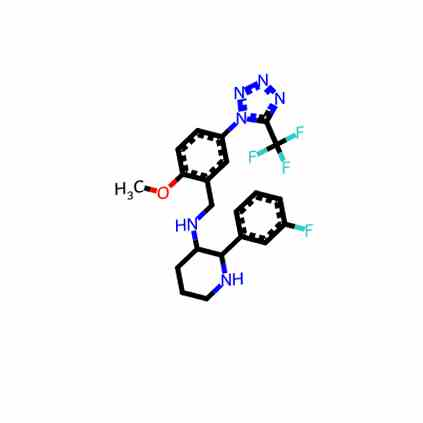 COc1ccc(-n2nnnc2C(F)(F)F)cc1CNC1CCCNC1c1cccc(F)c1